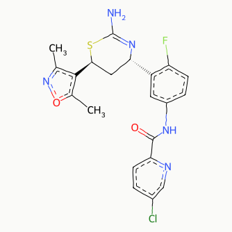 Cc1noc(C)c1[C@@H]1C[C@@H](c2cc(NC(=O)c3ccc(Cl)cn3)ccc2F)N=C(N)S1